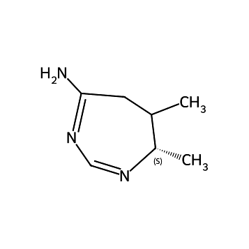 CC1CC(N)=NC=N[C@H]1C